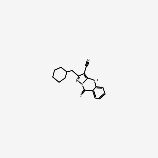 N#Cc1c(CC2CCCCC2)nn2c(=O)c3ccccc3[nH]c12